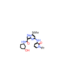 CNc1cc(Nc2cccn(C(C)C)c2=O)nc2c(C(=O)N[C@@H]3CCC[C@@H](O)C3)cnn12